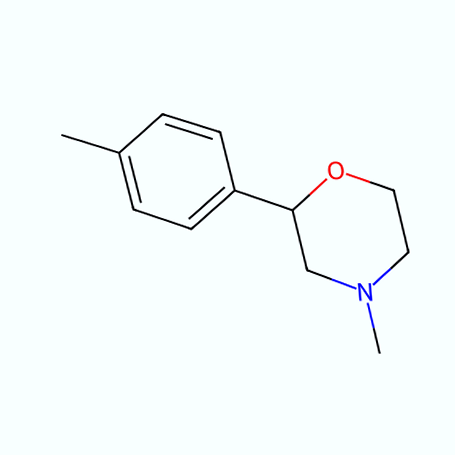 Cc1ccc(C2CN(C)CCO2)cc1